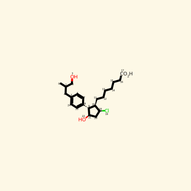 CC(CO)Cc1ccc([C@@H]2[C@@H](CCCCCCC(=O)O)[C@@H](Cl)C[C@H]2O)cc1